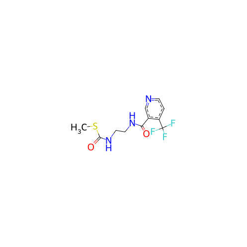 CSC(=O)NCCNC(=O)c1cnccc1C(F)(F)F